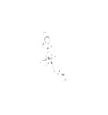 CC(C)(C)OC(=O)N1CCC(CCn2c(=N)n(CCCOc3ccc(Cl)cc3Cl)c3ccccc32)CC1